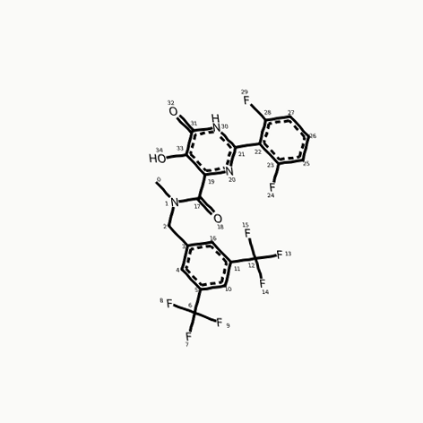 CN(Cc1cc(C(F)(F)F)cc(C(F)(F)F)c1)C(=O)c1nc(-c2c(F)cccc2F)[nH]c(=O)c1O